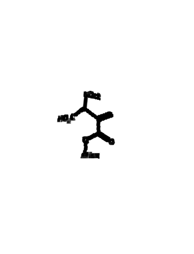 C=C(C(=O)OCCCCCC)C(CCCCCCCC)C(=O)O